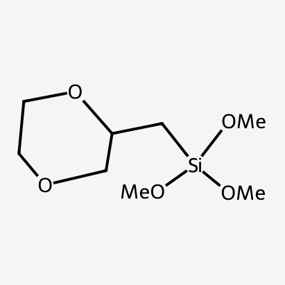 CO[Si](CC1COCCO1)(OC)OC